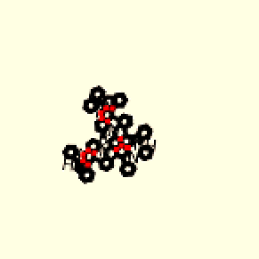 C1=Cc2c(c3ccccc3n2-c2ccc3c(c2)N(c2c(-c4cccc5[nH]c6ccccc6c45)cccc2-c2cccc4c2c2ccccc2n4-c2ccccc2)c2cccc4c2B3c2ccc(-n3c5ccccc5c5ccccc53)cc2N4c2c(-c3cccc4[nH]c5ccccc5c34)cccc2-c2cccc3c2c2ccccc2n3-c2ccccc2)CC1